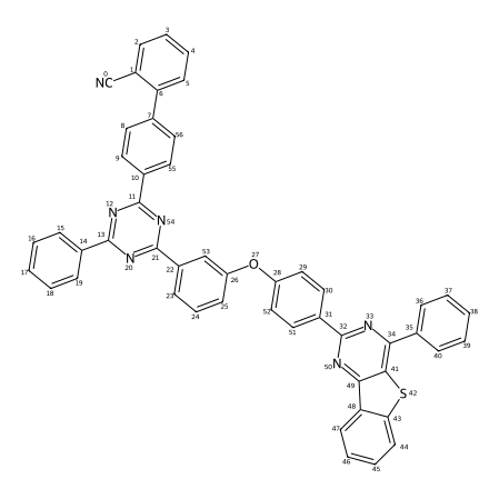 N#Cc1ccccc1-c1ccc(-c2nc(-c3ccccc3)nc(-c3cccc(Oc4ccc(-c5nc(-c6ccccc6)c6sc7ccccc7c6n5)cc4)c3)n2)cc1